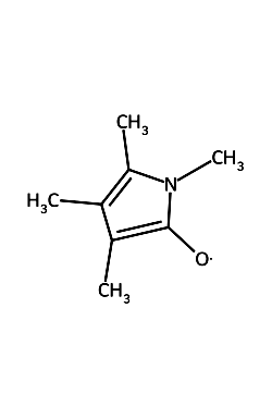 Cc1c(C)c([O])n(C)c1C